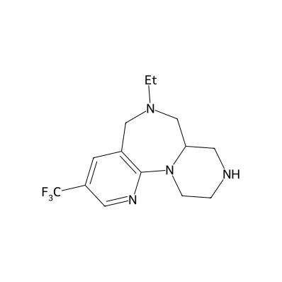 CCN1Cc2cc(C(F)(F)F)cnc2N2CCNCC2C1